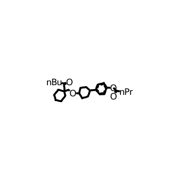 CCCCC(=O)C1(COC2CCC(c3ccc(OC(=O)CCC)cc3)CC2)CCCCC1